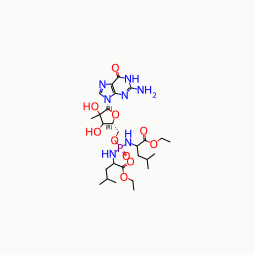 CCOC(=O)C(CC(C)C)NP(=O)(NC(CC(C)C)C(=O)OCC)OC[C@H]1O[C@@H](n2cnc3c(=O)[nH]c(N)nc32)C(C)(O)C1O